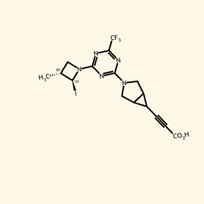 C[C@@H]1CN(c2nc(N3CC4C(C#CC(=O)O)C4C3)nc(C(F)(F)F)n2)[C@H]1I